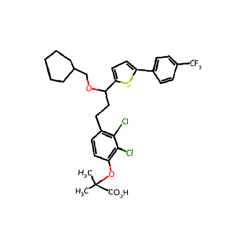 CC(C)(Oc1ccc(CCC(OCC2CCCCC2)c2ccc(-c3ccc(C(F)(F)F)cc3)s2)c(Cl)c1Cl)C(=O)O